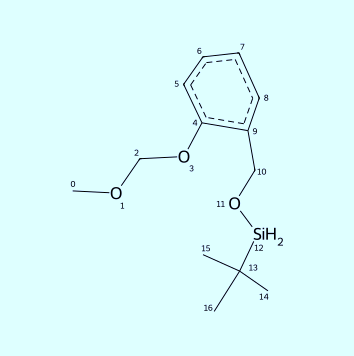 COCOc1ccccc1CO[SiH2]C(C)(C)C